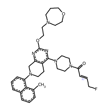 Cc1cccc2cccc(N3CCc4c(nc(OCCN5CCCOCC5)nc4N4CCN(C(=O)/C=C/CF)CC4)C3)c12